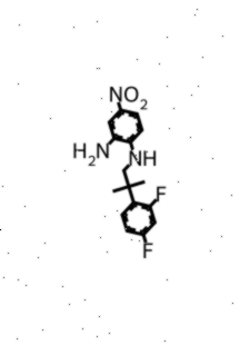 CC(C)(CNc1ccc([N+](=O)[O-])cc1N)c1ccc(F)cc1F